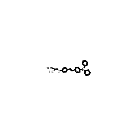 OCC(O)COc1ccc(C=Cc2ccc(N(c3ccccc3)c3ccccc3)cc2)cc1